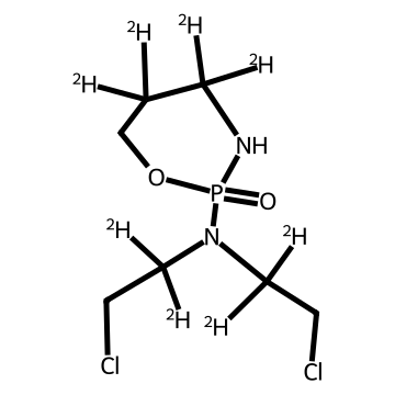 [2H]C([2H])(CCl)N(C([2H])([2H])CCl)P1(=O)NC([2H])([2H])C([2H])([2H])CO1